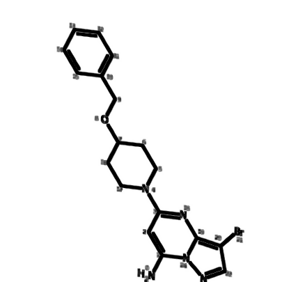 Nc1cc(N2CCC(OCc3ccccc3)CC2)nc2c(Br)cnn12